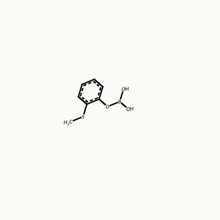 CSc1ccccc1OB(O)O